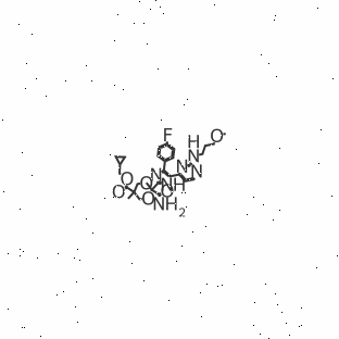 COCCCNc1nccc(-c2[nH]c(C3(C(N)=O)OCC(C)(C(=O)OCC4CC4)CO3)nc2-c2ccc(F)cc2)n1